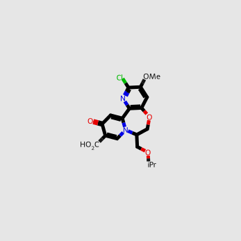 COc1cc2c(nc1Cl)-c1cc(=O)c(C(=O)O)cn1C(COC(C)C)CO2